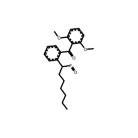 CCCCCCC(P=O)c1ccccc1C(=O)c1c(OC)cccc1OC